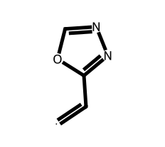 [CH]=Cc1nnco1